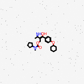 CC(=N)/C(COC(=O)N(C)C1CCCC1)=C(\O)c1ccc(OC2CCCCC2)cc1